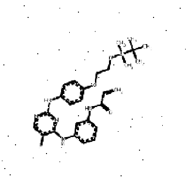 C=CC(=O)Nc1cccc(Nc2nc(Nc3ccc(OCCO[Si](C)(C)C(C)(C)C)cc3)ncc2F)c1